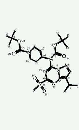 CC(C)c1cnn2c(N(C(=O)OC(C)(C)C)C3CCN(C(=O)OC(C)(C)C)CC3)nc(S(C)(=O)=O)nc12